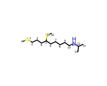 CSCCCC(CCCCCNC(C)C)SC